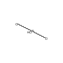 Cl.ClCCCCCCCCCCC[CH2][Al][CH2]CCCCCCCCCCCCl